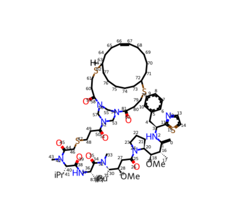 C=C(N[C@@H](Cc1ccccc1)c1nccs1)[C@H](C)[C@@H](OC)[C@@H]1CCCN1C(=O)C[C@@H](OC)[C@H]([C@@H](C)CC)N(C)C(=O)[C@@H](NC(=O)[C@H](C(C)C)N(C)C(=O)CSCCC(=O)N1CN2CN(C1)C(=O)CCS[C@H]1CC/C=C\CCCCC(CCCCC1)SCCC2=O)C(C)C